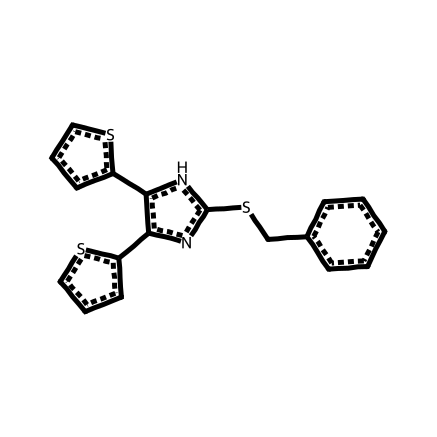 c1ccc(CSc2nc(-c3cccs3)c(-c3cccs3)[nH]2)cc1